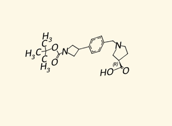 CC(C)(C)OC(=O)N1CC(c2ccc(CN3CC[C@@H](C(=O)O)C3)cc2)C1